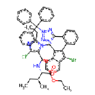 CCOC(=O)[C@@H](NC(=O)c1c(Cl)nc(CC)n1Cc1c2ccocc-2c(Br)c1-c1ccccc1-c1nnn(C(c2ccccc2)(c2ccccc2)c2ccccc2)n1)[C@@H](C)CC